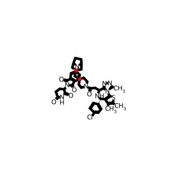 Cc1sc2c(c1C)[C@H](c1ccc(Cl)cc1)NC(CC(=O)N1CCC(CN3CC4CCC(C3)N4c3ccc4c(c3)C(=O)N(C3CCC(=O)NC3=O)C4=O)CC1)c1nnc(C)n1-2